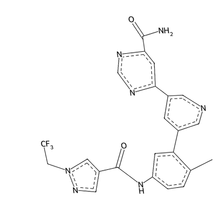 Cc1ccc(NC(=O)c2cnn(CC(F)(F)F)c2)cc1-c1cncc(-c2cc(C(N)=O)ncn2)c1